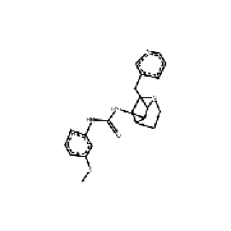 CSc1cccc(NC(=O)NC2C3CCN(CC3)C2Cc2cccnc2)c1